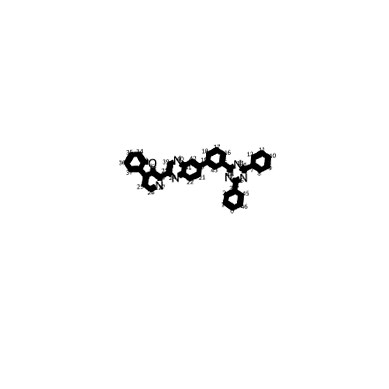 c1ccc(-c2nc(-c3ccccc3)nc(-c3cccc(-c4ccc5nc(-c6nccc7c6oc6ccccc67)cnc5c4)c3)n2)cc1